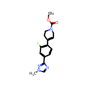 Cn1cnc(-c2ccc(C3=CCN(C(=O)OC(C)(C)C)CC3)c(F)c2)n1